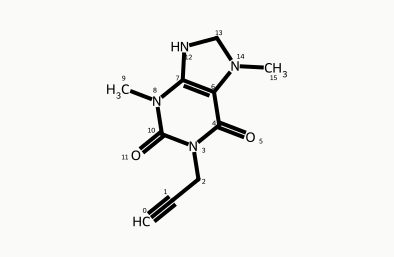 C#CCn1c(=O)c2c(n(C)c1=O)NCN2C